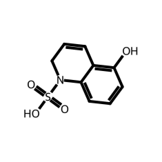 O=S(=O)(O)N1CC=Cc2c(O)cccc21